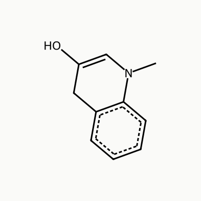 CN1C=C(O)Cc2ccccc21